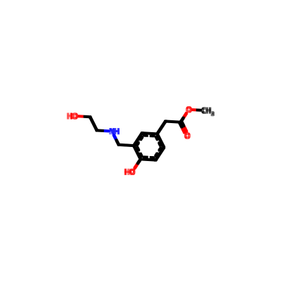 COC(=O)Cc1ccc(O)c(CNCCO)c1